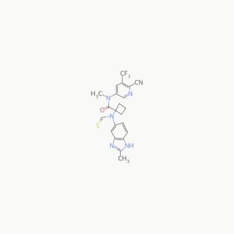 Cc1nc2cc(N(C=S)C3(C(=O)N(C)c4cnc(C#N)c(C(F)(F)F)c4)CCC3)ccc2[nH]1